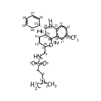 CN(C)CCS(=O)(=O)NC[C@H]1CC[C@@H]2[C@H](O1)c1cc(C(F)(F)F)ccc1N[C@H]2C1C=CC=CC1